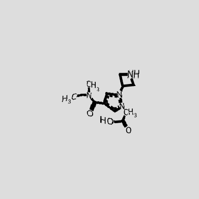 CC(=O)O.CN(C)C(=O)c1cnn(C2CNC2)c1